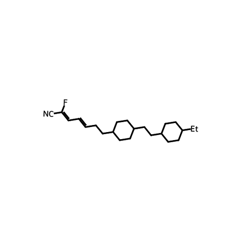 CCC1CCC(CCC2CCC(CCC=CC=C(F)C#N)CC2)CC1